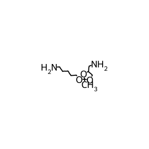 CC1(OCCCCCN)OCC(CN)O1